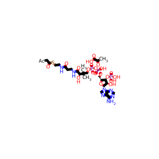 CC(=O)C(=O)O.CC(=O)CC(=O)SCCNC(=O)CCNC(=O)[C@H](O)C(C)(C)COP(=O)(O)OP(=O)(O)OC[C@H]1O[C@@H](n2cnc3c(N)ncnc32)[C@H](O)[C@@H]1OP(=O)(O)O